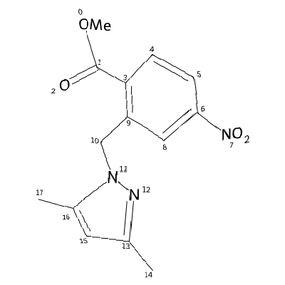 COC(=O)c1ccc([N+](=O)[O-])cc1Cn1nc(C)cc1C